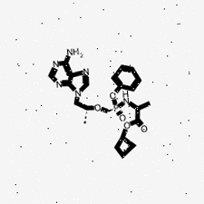 CC(N[P@](=O)(CO[C@H](C)Cn1cnc2c(N)ncnc21)Oc1ccccc1)C(=O)OC1CCC1